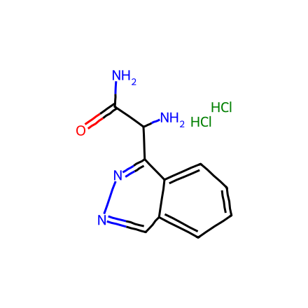 Cl.Cl.NC(=O)C(N)c1nncc2ccccc12